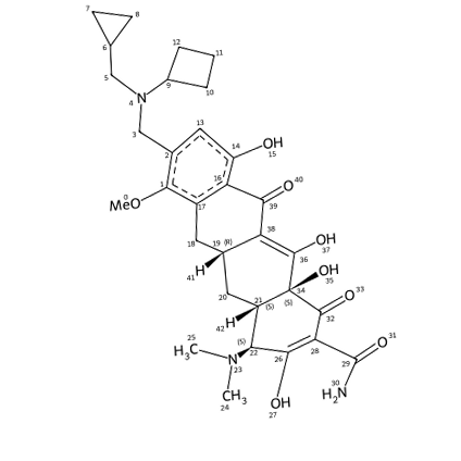 COc1c(CN(CC2CC2)C2CCC2)cc(O)c2c1C[C@H]1C[C@H]3[C@H](N(C)C)C(O)=C(C(N)=O)C(=O)[C@@]3(O)C(O)=C1C2=O